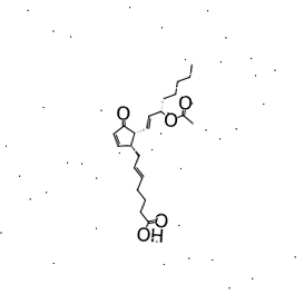 CCCCC[C@@H](C=C[C@H]1C(=O)C=C[C@@H]1CC=CCCCC(=O)O)OC(C)=O